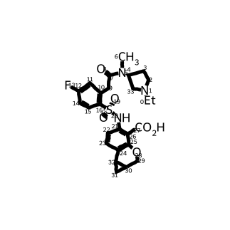 CCN1CC[C@@H](N(C)C(=O)Cc2cc(F)ccc2S(=O)(=O)Nc2ccc3c(c2C(=O)O)OCC2CC32)C1